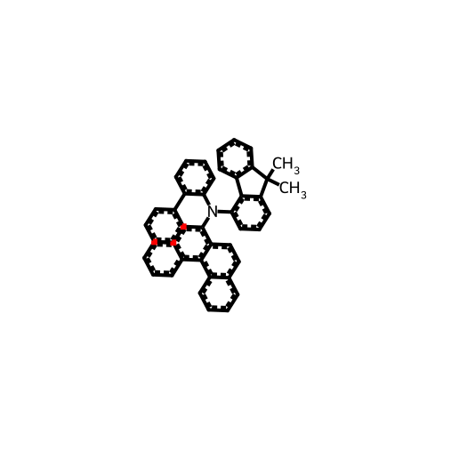 CC1(C)c2ccccc2-c2c(N(c3ccccc3-c3ccccc3)c3cc4ccccc4c4c3ccc3ccccc34)cccc21